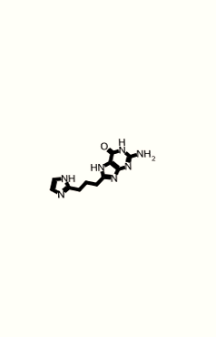 Nc1nc2nc(CCCc3ncc[nH]3)[nH]c2c(=O)[nH]1